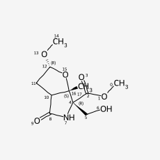 COC(=O)[C@]1(CO)NC(=O)C2C[C@H](OC)O[C@@]21C